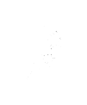 [2H]c1ccnc(-c2cnn(S(=O)(=O)C3CC3)c2)n1